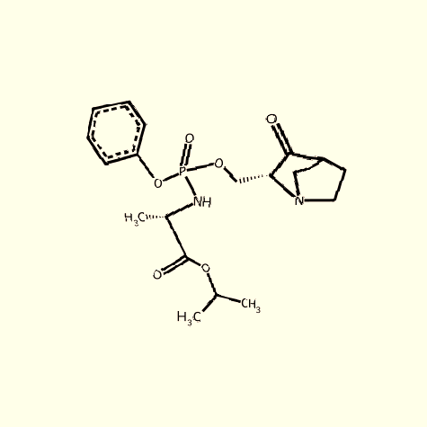 CC(C)OC(=O)[C@H](C)NP(=O)(OC[C@@H]1C(=O)C2CCN1C2)Oc1ccccc1